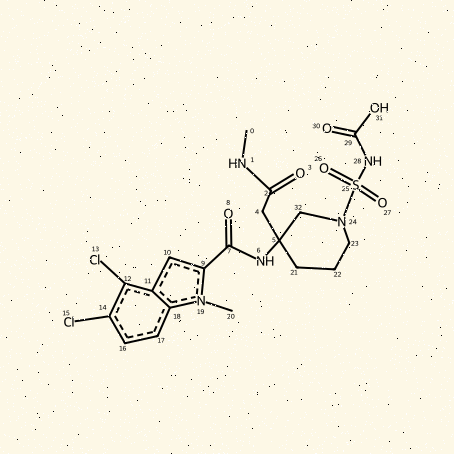 CNC(=O)CC1(NC(=O)c2cc3c(Cl)c(Cl)ccc3n2C)CCCN(S(=O)(=O)NC(=O)O)C1